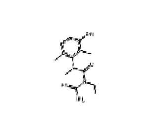 CCN(C(=N)N)C(=O)N(C)c1c(C)ccc(O)c1C